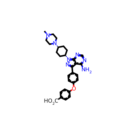 CN1CCN([C@H]2CC[C@@H](n3nc(-c4ccc(Oc5ccc(C(=O)O)cc5)cc4)c4c(N)ncnc43)CC2)CC1